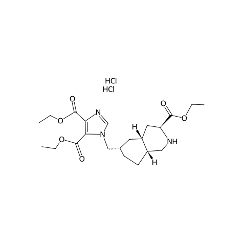 CCOC(=O)c1ncn(C[C@H]2CC[C@H]3CN[C@H](C(=O)OCC)C[C@H]3C2)c1C(=O)OCC.Cl.Cl